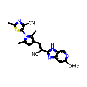 COc1cc2nc(/C(C#N)=C/c3cc(C)n(-c4sc(C)nc4C#N)c3C)[nH]c2cn1